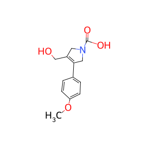 COc1ccc(C2=C(CO)CN(C(=O)O)C2)cc1